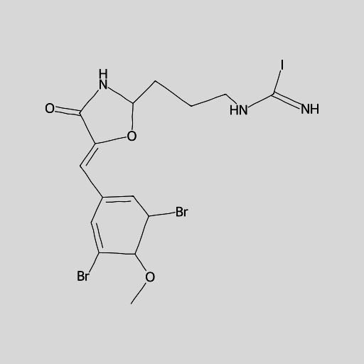 COC1C(Br)=CC(/C=C2\OC(CCCNC(=N)I)NC2=O)=CC1Br